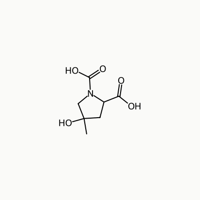 CC1(O)CC(C(=O)O)N(C(=O)O)C1